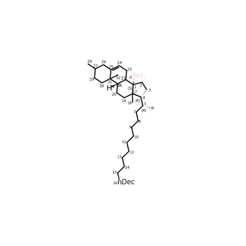 B[C@@]12CC[C@H]([C@H](C)CCCCCCCCCCCCCCCCCCC)C1(C)CC[C@H]1C2CC=C2CC(C)CCC21C